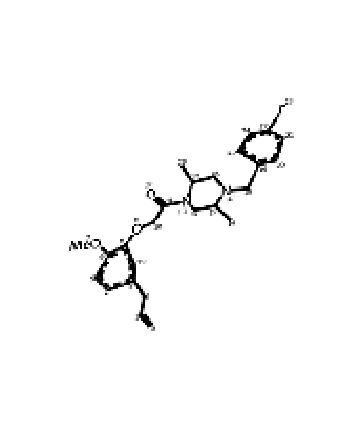 C=CCc1ccc(OC)c(OCC(=O)N2CC(C)N(Cc3ccc(F)cc3)CC2C)c1